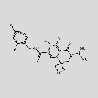 CN(C)N1CC2(COC2)N2C=C(C(=O)NCc3ccc(F)cc3F)C(O)C(O)=C2C1=O